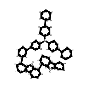 c1ccc(-c2ccc(N(c3ccc(-c4ccccc4)cc3)c3ccc(-c4cccc(-c5cccc6c5sc5c(-c7cccc8c7oc7ccccc78)cccc56)c4)cc3)cc2)cc1